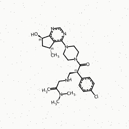 C=C(CNC[C@@H](C(=O)N1CCN(c2ncnc3c2[C@H](C)C[C@H]3O)CC1)c1ccc(Cl)cc1)N(C)C